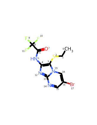 CCSc1c(NC(=O)C(F)(F)F)nc2ncc(Br)cn12